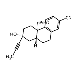 CC#C[C@@]1(O)CC[C@@]2(CCCCC)c3ccc(C#N)cc3CC[C@@H]2C1